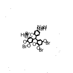 O=C(O)c1ccccc1C1C2=C(Oc3c(OBr)cc(OBr)cc31)C(OBr)C(=O)C(OBr)=C2.[NaH].[NaH]